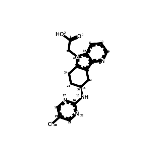 O=C(O)Cn1c2c(c3ncccc31)C[C@@H](Nc1ncc(Cl)cn1)CC2